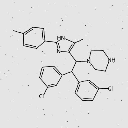 Cc1ccc(-c2nc(C(C(c3cccc(Cl)c3)c3cccc(Cl)c3)N3CCNCC3)c(C)[nH]2)cc1